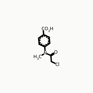 CN(C(=O)CCl)c1ccc(C(=O)O)cc1